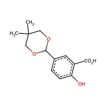 CC1(C)COC(c2ccc(O)c(C(=O)O)c2)OC1